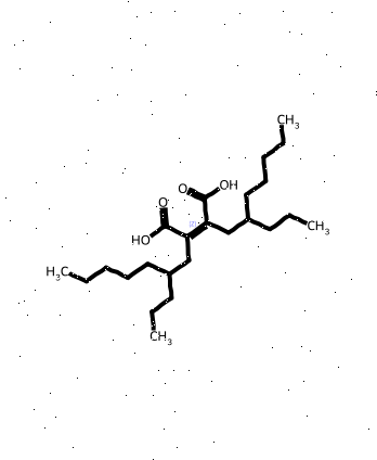 CCCCCC(CCC)C/C(C(=O)O)=C(\CC(CCC)CCCCC)C(=O)O